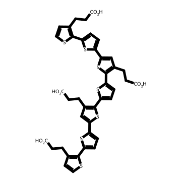 O=C(O)CCc1ccsc1-c1ccc(-c2cc(CCC(=O)O)c(-c3ccc(-c4sc(-c5ccc(-c6sccc6CCC(=O)O)s5)cc4CCC(=O)O)s3)s2)s1